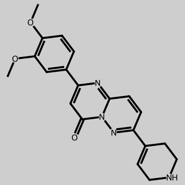 COc1ccc(-c2cc(=O)n3nc(C4=CCNCC4)ccc3n2)cc1OC